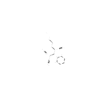 COC=CC=C(C#N)C(=C(C#N)C#N)c1ccccc1